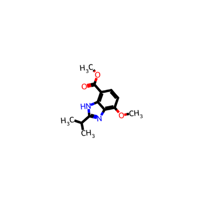 COC(=O)c1ccc(OC)c2nc(C(C)C)[nH]c12